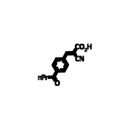 CCCC(=O)c1ccc(/C=C(\C#N)C(=O)O)cc1